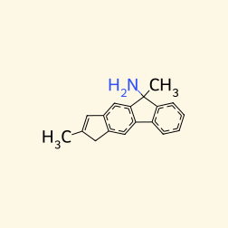 CC1=Cc2cc3c(cc2C1)-c1ccccc1C3(C)N